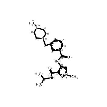 CC(C)NC(=O)c1nn(C)cc1NC(=O)c1cccc(CN2CCN(C)CC2)c1